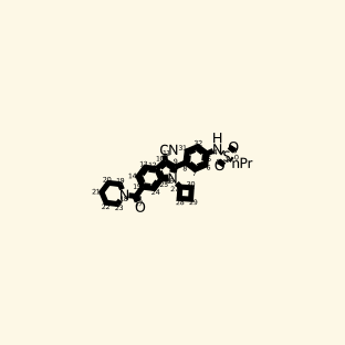 CCCS(=O)(=O)Nc1ccc(-c2c(C#N)c3ccc(C(=O)N4CCCCC4)cc3n2C2CCC2)cc1